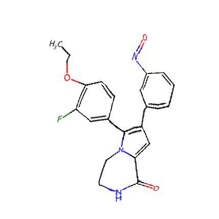 CCOc1ccc(-c2c(-c3cccc(N=O)c3)cc3n2CCNC3=O)cc1F